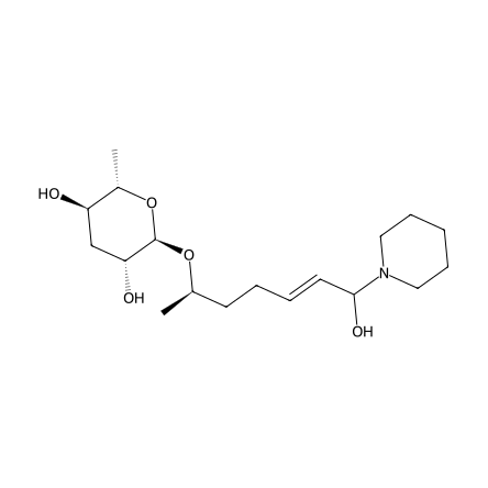 C[C@H](CC/C=C/C(O)N1CCCCC1)O[C@@H]1O[C@@H](C)[C@H](O)C[C@H]1O